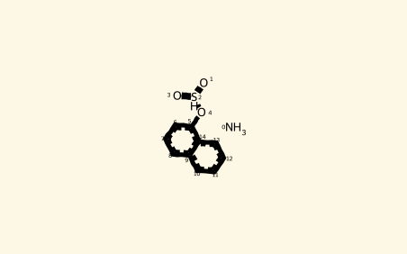 N.O=[SH](=O)Oc1cccc2ccccc12